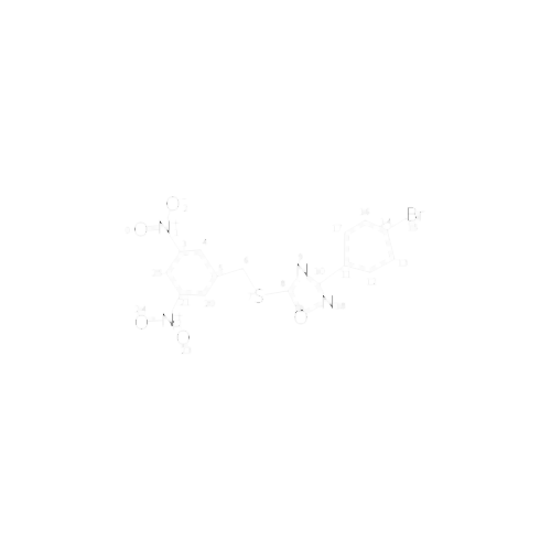 O=[N+]([O-])c1cc(CSc2nc(-c3ccc(Br)cc3)no2)cc([N+](=O)[O-])c1